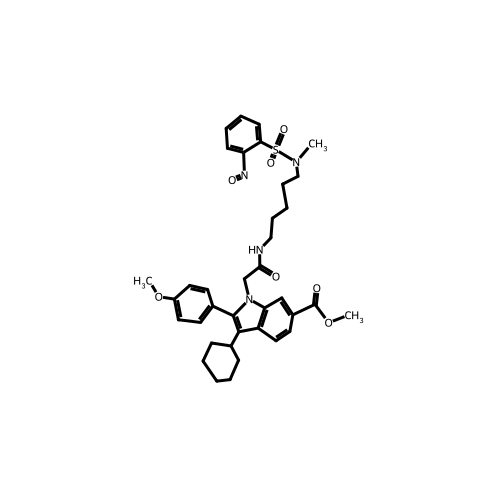 COC(=O)c1ccc2c(C3CCCCC3)c(-c3ccc(OC)cc3)n(CC(=O)NCCCCCN(C)S(=O)(=O)c3ccccc3N=O)c2c1